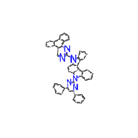 c1ccc(-c2cc(-c3ccccc3)nc(-n3c4ccccc4c4c5c6ccccc6n(-c6ncc7c8ccccc8c8ccccc8c7n6)c5ccc43)n2)cc1